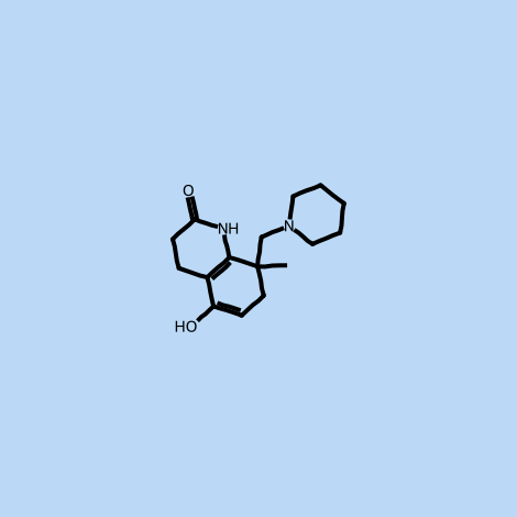 CC1(CN2CCCCC2)CC=C(O)C2=C1NC(=O)CC2